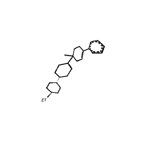 CC[C@H]1CC[C@H](C2CCC(C3(C)CC=C(c4ccccc4)CC3)CC2)CC1